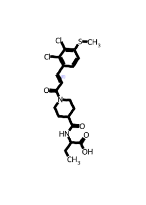 CCC(NC(=O)C1CCN(C(=O)/C=C/c2ccc(SC)c(Cl)c2Cl)CC1)C(=O)O